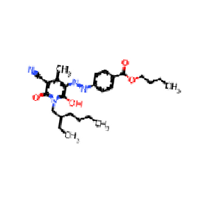 CCCCOC(=O)c1ccc(/N=N/c2c(C)c(C#N)c(=O)n(CC(CC)CCCC)c2O)cc1